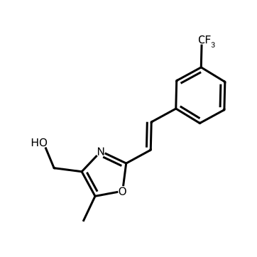 Cc1oc(/C=C/c2cccc(C(F)(F)F)c2)nc1CO